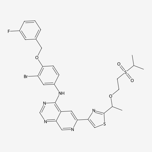 CC(OCCS(=O)(=O)C(C)C)c1nc(-c2cc3c(Nc4ccc(OCc5cccc(F)c5)c(Br)c4)ncnc3cn2)cs1